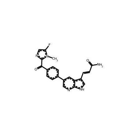 Cn1c(F)cnc1C(=O)c1ccc(-c2cnc3[nH]cc(/C=C/C(N)=O)c3c2)cc1